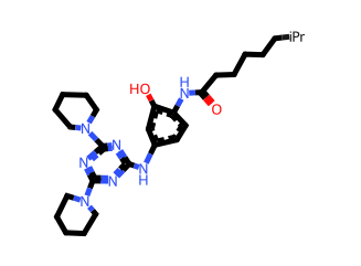 CC(C)CCCCCC(=O)Nc1ccc(Nc2nc(N3CCCCC3)nc(N3CCCCC3)n2)cc1O